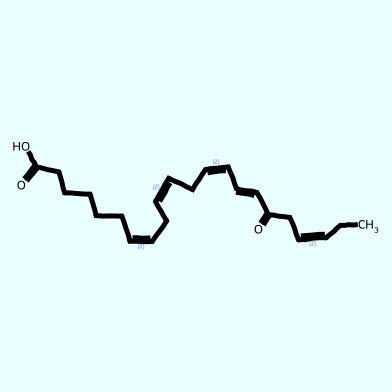 CC/C=C\CC(=O)C=C/C=C\C/C=C\C/C=C\CCCCCC(=O)O